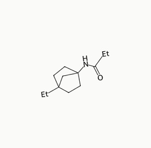 CCC(=O)NC12CCC(CC)(CC1)C2